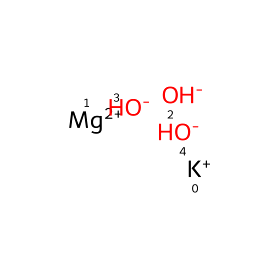 [K+].[Mg+2].[OH-].[OH-].[OH-]